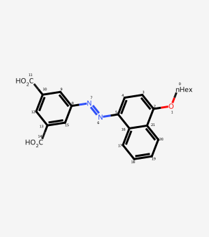 CCCCCCOc1ccc(N=Nc2cc(C(=O)O)cc(C(=O)O)c2)c2ccccc12